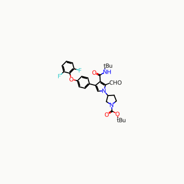 CC(C)(C)NC(=O)c1c(-c2ccc(Oc3c(F)cccc3F)cc2)cn(C2CCN(C(=O)OC(C)(C)C)C2)c1C=O